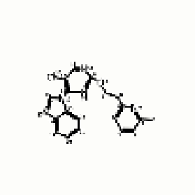 Cc1cccc(CCOc2ncc(Cl)c(-n3cnc4ccccc43)n2)n1